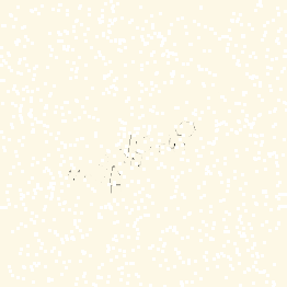 COC(=O)Nc1nc2cc(OS(=O)(=O)c3ccc(C4CCCCCC4)cc3)ccc2[nH]1